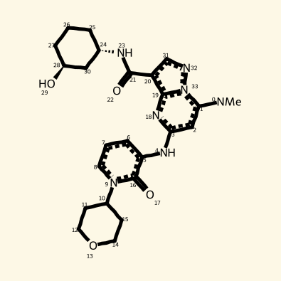 CNc1cc(Nc2cccn(C3CCOCC3)c2=O)nc2c(C(=O)N[C@H]3CCC[C@H](O)C3)cnn12